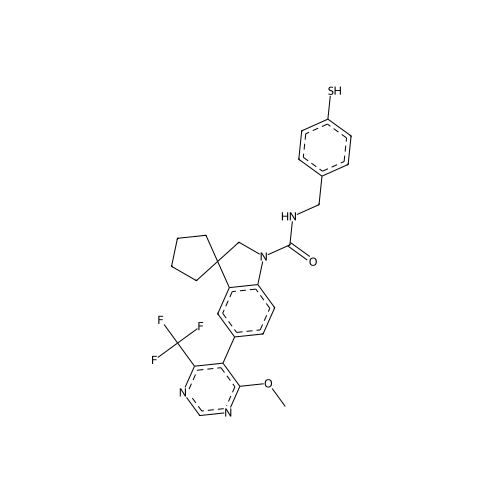 COc1ncnc(C(F)(F)F)c1-c1ccc2c(c1)C1(CCCC1)CN2C(=O)NCc1ccc(S)cc1